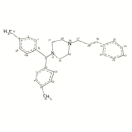 Cc1ccc(C(c2ccc(C)cc2)N2CCN(CC=Cc3ccccc3)CC2)cc1